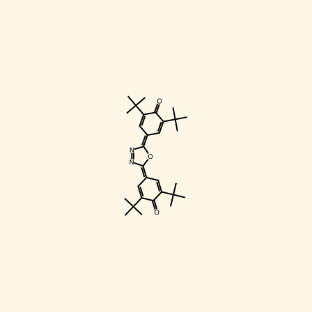 CC(C)(C)C1=CC(=c2nnc(=C3C=C(C(C)(C)C)C(=O)C(C(C)(C)C)=C3)o2)C=C(C(C)(C)C)C1=O